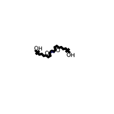 CC(C)(CO)CCCC1CCC(/C=C/C2CCC(CCCC(C)(C)CO)O2)O1